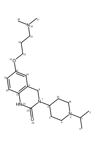 CC(C)N1CCC(N2Cc3cc(OCCCN(C)C)ccc3NC2=O)CC1